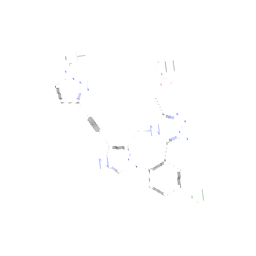 COCc1nnc2n1Cc1c(C#Cc3ccn(C)n3)ncn1-c1ccc(Cl)cc1-2